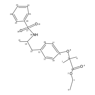 CCOC(=O)C(C)(C)Oc1ccc(CC(C)NS(=O)(=O)c2ccccc2)cc1